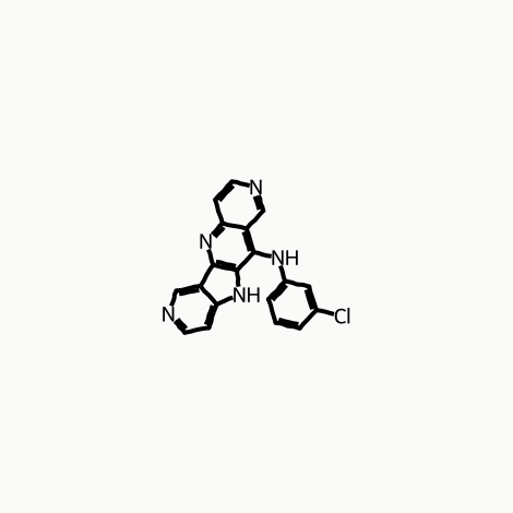 Clc1cccc(Nc2c3cnccc3nc3c2[nH]c2ccncc23)c1